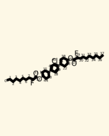 CCCCCCCC[C@H](F)C(=O)O[C@H]1CC[C@H](c2ccc([C@H]3CC[C@H](OC(=O)[C@@H](F)CCCCCCCC)CC3)c(Cl)c2)CC1